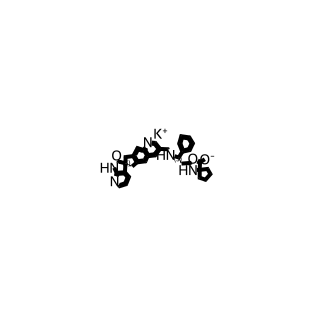 O=C([O-])C1(NCC[C@H](NCc2cnc3cc4c(cc3c2)C[C@@]2(C4)C(=O)Nc3ncccc32)c2ccccc2)CCCC1.[K+]